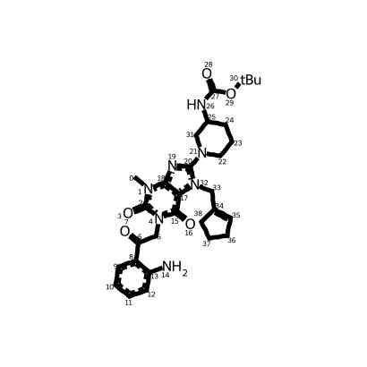 Cn1c(=O)n(CC(=O)c2ccccc2N)c(=O)c2c1nc(N1CCCC(NC(=O)OC(C)(C)C)C1)n2CC1=CCCC1